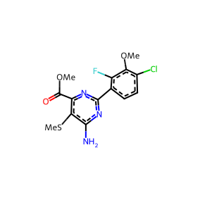 COC(=O)c1nc(-c2ccc(Cl)c(OC)c2F)nc(N)c1SC